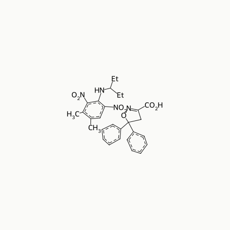 CCC(CC)Nc1c([N+](=O)[O-])cc(C)c(C)c1[N+](=O)[O-].O=C(O)C1=NOC(c2ccccc2)(c2ccccc2)C1